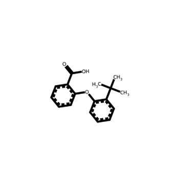 CC(C)(C)c1ccccc1Oc1ccccc1C(=O)O